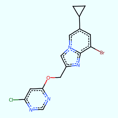 Clc1cc(OCc2cn3cc(C4CC4)cc(Br)c3n2)ncn1